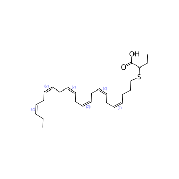 CC/C=C\C/C=C\C/C=C\C/C=C\C/C=C\C/C=C\CCCSC(CC)C(=O)O